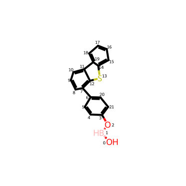 OBOc1ccc(-c2cccc3c2sc2ccccc23)cc1